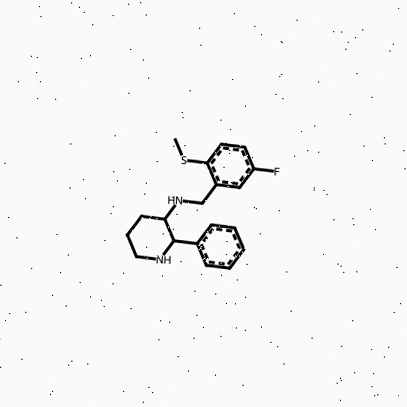 CSc1ccc(F)cc1CNC1CCCNC1c1ccccc1